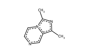 Cc1nc(C)n2ccncc12